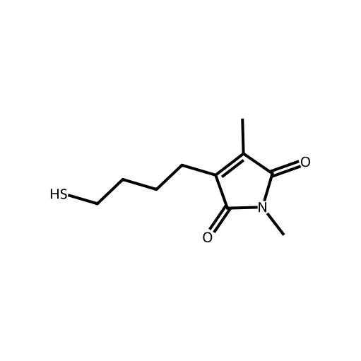 CC1=C(CCCCS)C(=O)N(C)C1=O